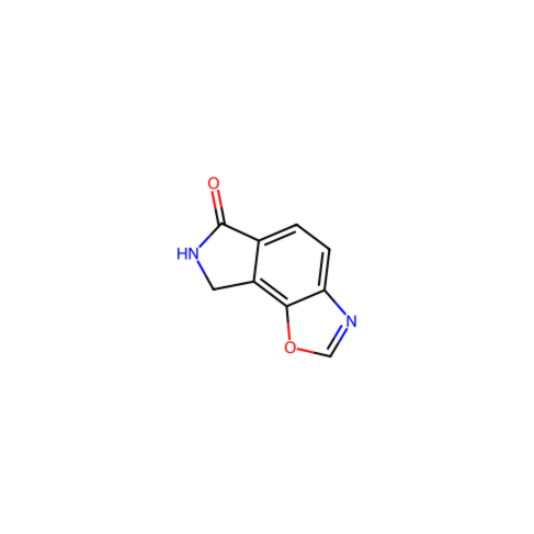 O=C1NCc2c1ccc1ncoc21